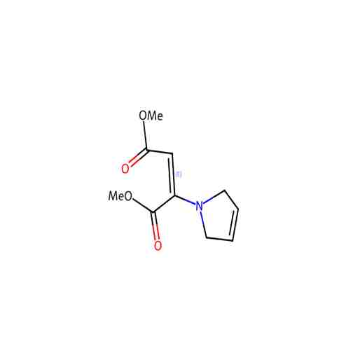 COC(=O)/C=C(\C(=O)OC)N1CC=CC1